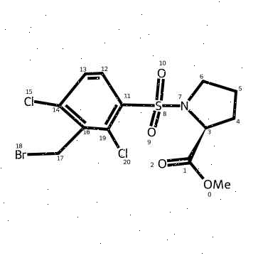 COC(=O)[C@@H]1CCCN1S(=O)(=O)c1ccc(Cl)c(CBr)c1Cl